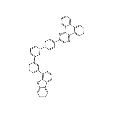 c1cc(-c2ccc(-c3cnc4c5ccccc5c5ccccc5c4n3)cc2)cc(-c2cccc(-c3cccc4c3sc3ccccc34)c2)c1